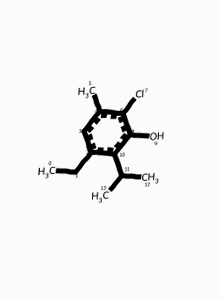 CCc1cc(C)c(Cl)c(O)c1C(C)C